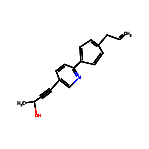 C=CCc1ccc(-c2ccc(C#CC(C)O)cn2)cc1